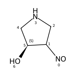 O=NC1CNC[C@@H]1O